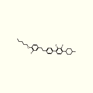 CCCCCOc1ccc(CCc2ccc(-c3ccc(C4CCC(C)CC4)c(F)c3F)cc2)cc1F